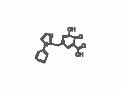 O=C(O)c1cn(Cc2nccn2-c2ccccc2)cc(O)c1=O